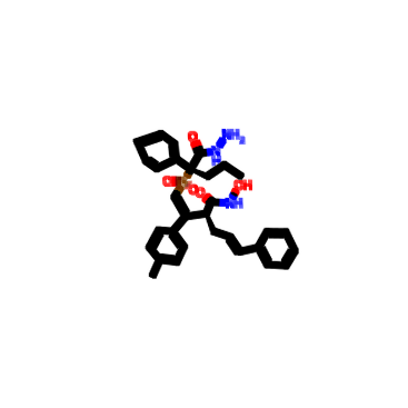 CCC[C@](C(=O)NN)(c1ccccc1)S(=O)(=O)/C=C(/c1ccc(C)cc1)[C@H](C/C=C/c1ccccc1)C(=O)NO